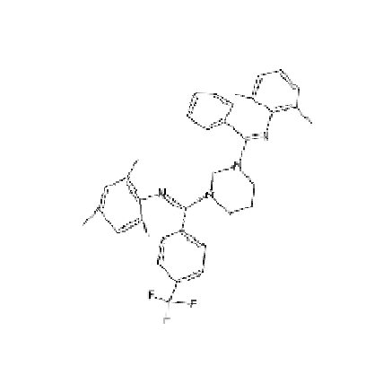 Cc1cc(C)c(/N=C(\c2ccc(C(F)(F)F)cc2)N2CCCN(/C(=N/c3c(C)cccc3C)c3ccccc3)C2)c(C)c1